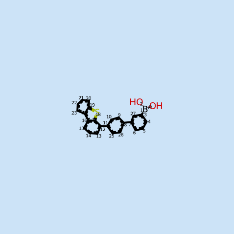 OB(O)c1cccc(-c2ccc(-c3cccc4c3sc3ccccc34)cc2)c1